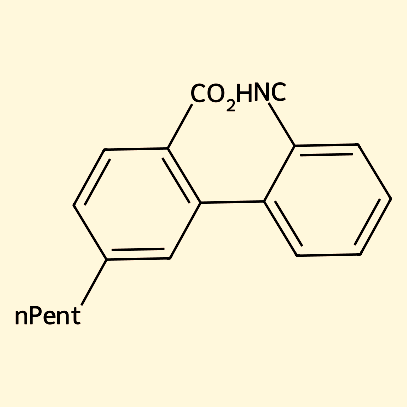 CCCCCc1ccc(C(=O)O)c(-c2ccccc2C#N)c1